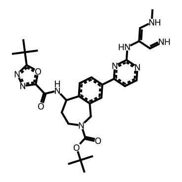 CN/C=C(\C=N)Nc1nccc(-c2ccc3c(c2)CN(C(=O)OC(C)(C)C)CCC3NC(=O)c2nnc(C(C)(C)C)o2)n1